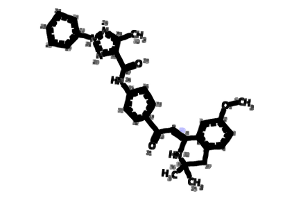 COc1ccc2c(c1)/C(=C/C(=O)c1ccc(NC(=O)c3nn(-c4ccccc4)nc3C)cc1)NC(C)(C)C2